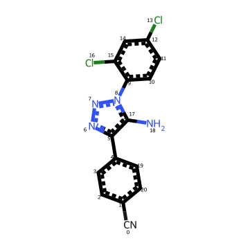 N#Cc1ccc(-c2nnn(-c3ccc(Cl)cc3Cl)c2N)cc1